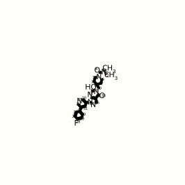 CN(C)C(=O)N1CCC(O)(Cn2cnc3c(cnn3-c3cncc(-c4ccc(F)cc4)c3)c2=O)CC1